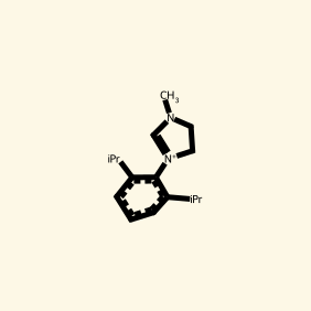 CC(C)c1cccc(C(C)C)c1[N+]1=CN(C)CC1